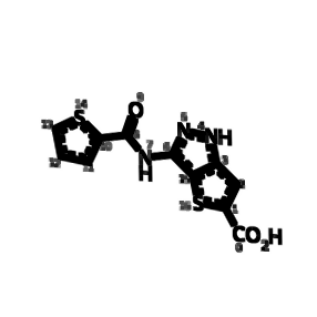 O=C(O)c1cc2[nH]nc(NC(=O)c3cccs3)c2s1